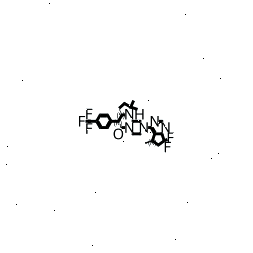 C[C@@H]1CC(F)(F)c2ncnc(N3CCN(C(=O)[C@H](c4ccc(C(F)(F)F)cc4)[C@@H]4CCC(C)(C)N4)CC3)c21